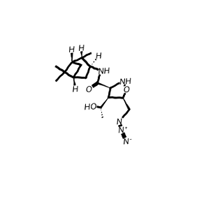 C[C@@H]1[C@@H](NC(=O)[C@H]2NO[C@@H](CN=[N+]=[N-])[C@H]2[C@H](C)O)C[C@H]2C[C@@H]1C2(C)C